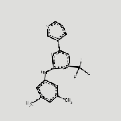 Cc1cc(C)cc(Nc2cc(C(F)(F)F)nc(-c3cccnc3)n2)c1